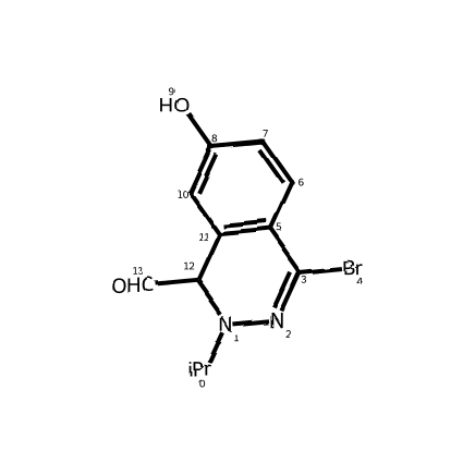 CC(C)N1N=C(Br)c2ccc(O)cc2C1C=O